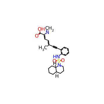 C=N/C(=C\C=C(/C)C#Cc1ccccc1NS(=O)(=O)N1CCC[C@H]2CCCC[C@@H]21)C(=O)O